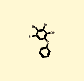 Oc1c(Oc2ccccc2)cc(Br)c(Br)c1Br